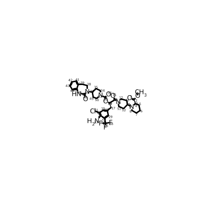 COC(=O)[C@H]1CCCCN1C1CCN(C(=O)[C@@H](Cc2cc(Cl)c(N)c(C(F)(F)F)c2)OC(=O)N2CCC(N3CCc4ccccc4NC3=O)CC2)CC1